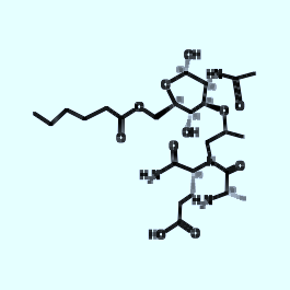 CCCCCC(=O)OC[C@H]1O[C@H](O)[C@H](NC(C)=O)[C@@H](OC(C)CN(C(=O)[C@H](C)N)[C@H](CCC(=O)O)C(N)=O)[C@@H]1O